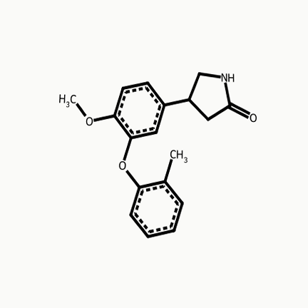 COc1ccc(C2CNC(=O)C2)cc1Oc1ccccc1C